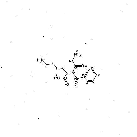 NCCCCC(C(=O)O)N(C(=O)CN)C(=O)c1ccccc1